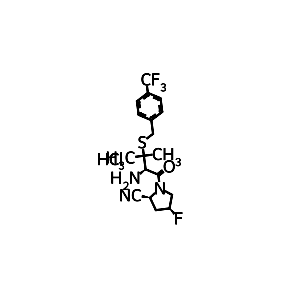 CC(C)(SCc1ccc(C(F)(F)F)cc1)[C@H](N)C(=O)N1C[C@@H](F)C[C@H]1C#N.Cl